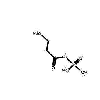 CSCCC(=O)OP(=O)(O)O